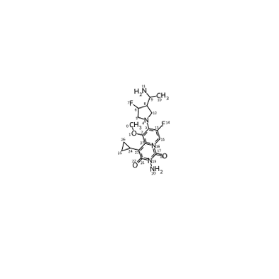 COc1c(N2CC(F)C(C(C)N)C2)c(F)cn2c(=O)n(N)c(=O)c(C3CC3)c12